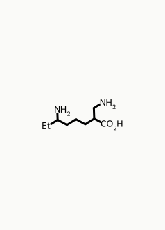 CCC(N)CCCC(CN)C(=O)O